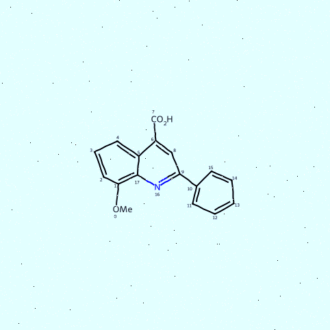 COc1cccc2c(C(=O)O)cc(-c3ccccc3)nc12